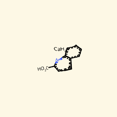 O=C(O)c1ccc2ccccc2n1.[CaH2]